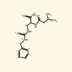 CC(C)CC(=O)NC(CNC(=O)NCc1ccccc1)C(=O)O